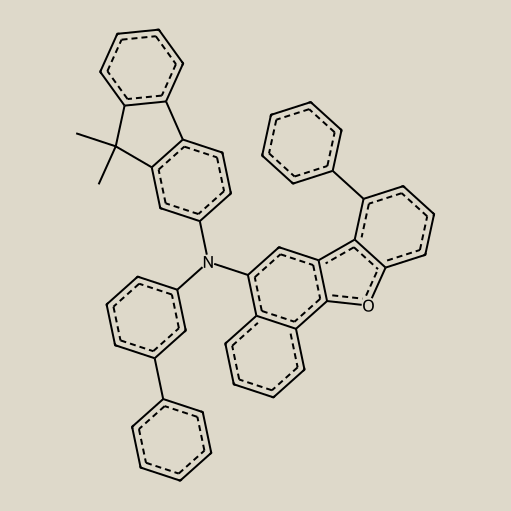 CC1(C)c2ccccc2-c2ccc(N(c3cccc(-c4ccccc4)c3)c3cc4c(oc5cccc(-c6ccccc6)c54)c4ccccc34)cc21